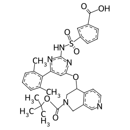 Cc1cccc(C)c1-c1cc(OC2CN(C(=O)OC(C)(C)C)Cc3cnccc32)nc(NS(=O)(=O)c2cccc(C(=O)O)c2)n1